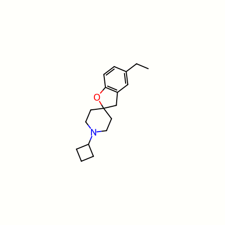 CCc1ccc2c(c1)CC1(CCN(C3CCC3)CC1)O2